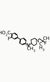 CN(c1ccc(-c2ccc(C(=O)O)c(F)c2)cc1)C1CCN(CC(C)(C)F)CC1